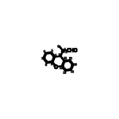 [CH2]N(C=O)C1c2ccccc2Oc2ccccc21